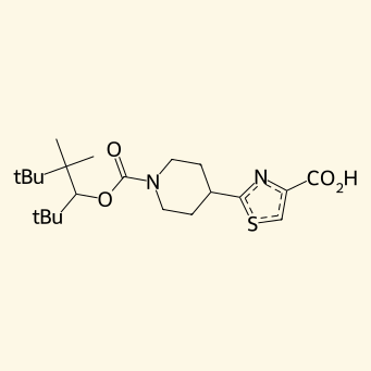 CC(C)(C)C(OC(=O)N1CCC(c2nc(C(=O)O)cs2)CC1)C(C)(C)C(C)(C)C